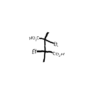 CCC(C)(C(=O)O)C(C)(CC)C(=O)O